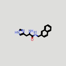 NC(Cc1c[nH]cn1)C(=O)NCc1ccc2ccccc2c1